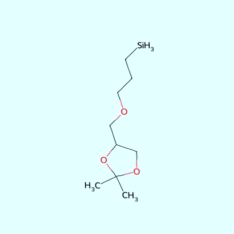 CC1(C)OCC(COCCC[SiH3])O1